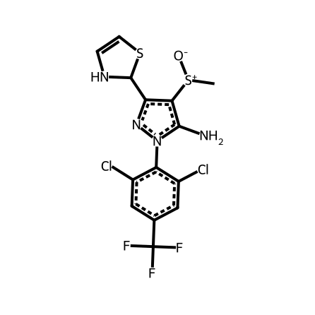 C[S+]([O-])c1c(C2NC=CS2)nn(-c2c(Cl)cc(C(F)(F)F)cc2Cl)c1N